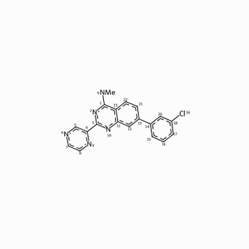 CNc1nc(-c2cnccn2)nc2cc(-c3cccc(Cl)c3)ccc12